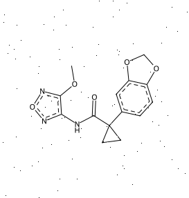 COc1nonc1NC(=O)C1(c2ccc3c(c2)OCO3)CC1